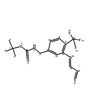 CC(C)(C)OC(=O)NCc1ccc(C(F)(F)F)c(N=CC=S)c1